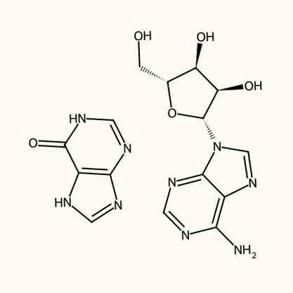 Nc1ncnc2c1ncn2[C@@H]1O[C@H](CO)[C@@H](O)[C@H]1O.O=c1[nH]cnc2nc[nH]c12